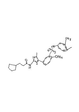 COc1ccc(-c2sc(NC(=O)CCC3CCCC3)nc2C)cc1S(=O)(=O)Nc1ccc(C)c(O)c1